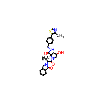 Cc1ncsc1-c1ccc(CNC(=O)C2(C)C[C@@H](O)CN2C(=O)C(C(C)C)N2Cc3ccccc3C2=O)cc1